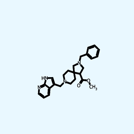 COC(=O)C1CN(Cc2ccccc2)CC12CCN(Cc1c[nH]c3ncccc13)CC2